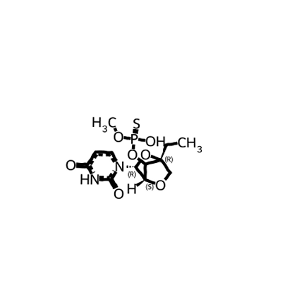 CC[C@@]12CO[C@@H](C1OP(O)(=S)OC)[C@H](n1ccc(=O)[nH]c1=O)O2